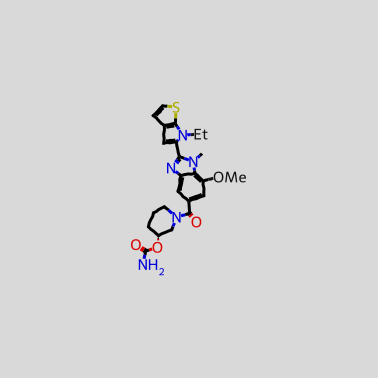 CCn1c(-c2nc3cc(C(=O)N4CCC[C@@H](OC(N)=O)C4)cc(OC)c3n2C)cc2ccsc21